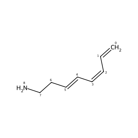 C=C/C=C\C=C\CCN